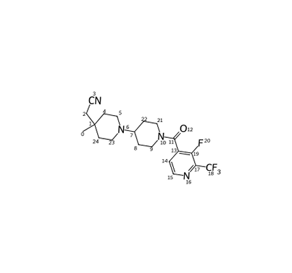 CC1(CC#N)CCN(C2CCN(C(=O)c3ccnc(C(F)(F)F)c3F)CC2)CC1